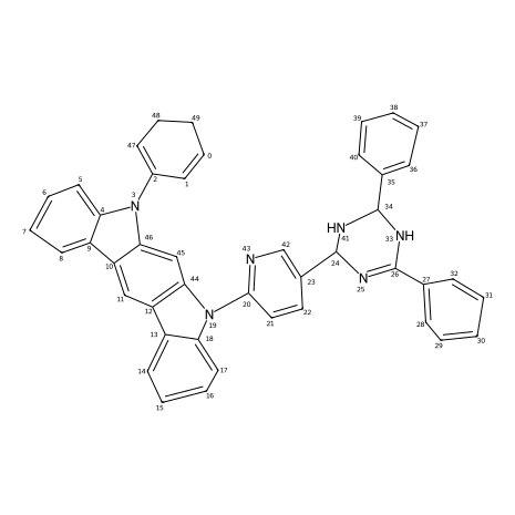 C1=CC(n2c3ccccc3c3cc4c5ccccc5n(-c5ccc(C6N=C(c7ccccc7)NC(c7ccccc7)N6)cn5)c4cc32)=CCC1